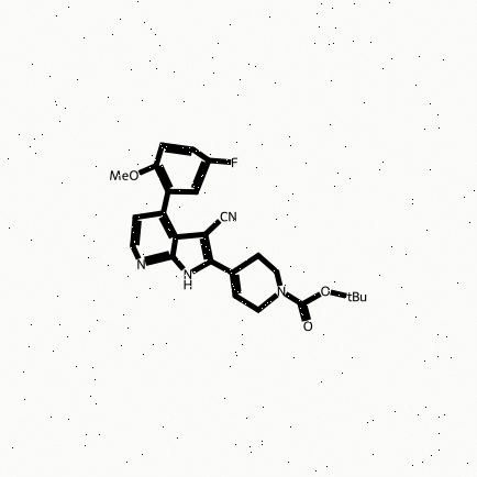 COc1ccc(F)cc1-c1ccnc2[nH]c(C3=CCN(C(=O)OC(C)(C)C)CC3)c(C#N)c12